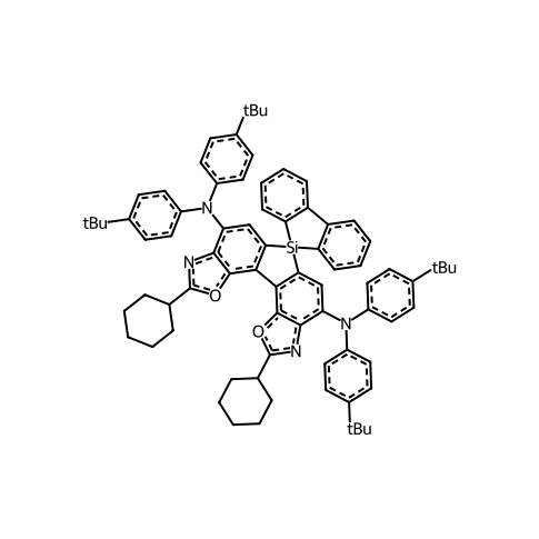 CC(C)(C)c1ccc(N(c2ccc(C(C)(C)C)cc2)c2cc3c(c4oc(C5CCCCC5)nc24)-c2c(cc(N(c4ccc(C(C)(C)C)cc4)c4ccc(C(C)(C)C)cc4)c4nc(C5CCCCC5)oc24)[Si]32c3ccccc3-c3ccccc32)cc1